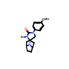 COc1ccc(N2CC3(CC4CCC(C3)N4)N(C(C)C)C2=O)cc1